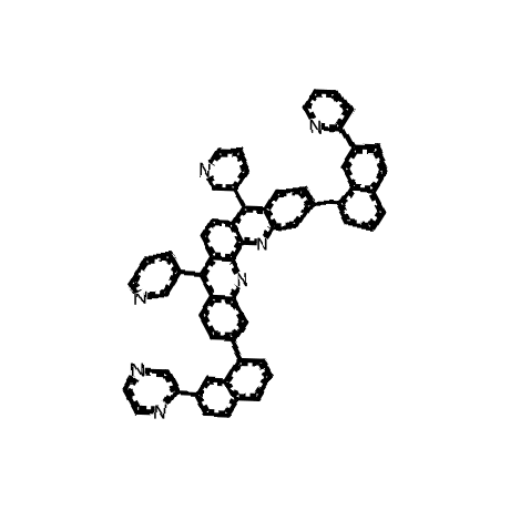 c1ccc(-c2ccc3cccc(-c4ccc5c(-c6cccnc6)c6ccc7c(-c8cccnc8)c8ccc(-c9cccc%10ccc(-c%11cnccn%11)cc9%10)cc8nc7c6nc5c4)c3c2)nc1